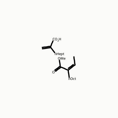 C=C(CCCCCCC)C(=O)O.CC=C(CCCCCCCC)C(=O)OC